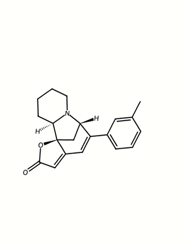 Cc1cccc(C2=CC3=CC(=O)O[C@@]34C[C@@H]2N2CCCC[C@@H]24)c1